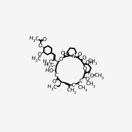 CC[C@@H]1/C=C(\C)C[C@H](C)C[C@H](OC)[C@H]2O[C@@](O)(C(=O)C(=O)N3CCCC[C@H]3C(=O)O[C@H](/C(C)=C/C3CC[C@@H](OC(C)=O)[C@H](OC)C3)[C@@H](C)[C@@H](O)CC1=O)[C@H](C)C[C@@H]2OC